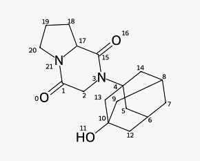 O=C1CN(C23CC4CC(CC(O)(C4)C2)C3)C(=O)C2CCCN12